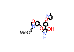 COCCCN1CCOc2ccc(COC3CNC[C@@H](O)[C@@H]3c3ccc(Oc4cccc(C)n4)cc3)cc21